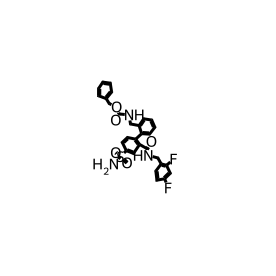 NS(=O)(=O)c1ccc(-c2ccccc2CNC(=O)OCc2ccccc2)c(C(=O)NCc2ccc(F)cc2F)c1